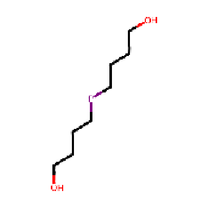 OCCCC[P]CCCCO